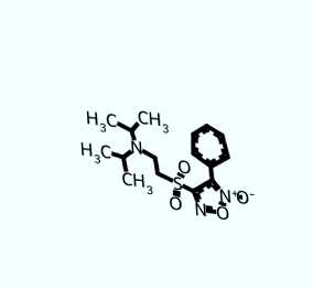 CC(C)N(CCS(=O)(=O)c1no[n+]([O-])c1-c1ccccc1)C(C)C